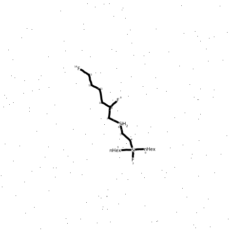 CCCCCC[Si](F)(CCCCCC)CC[SiH2]CC(F)CCCCF